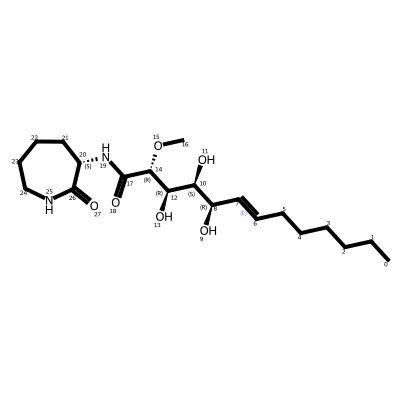 CCCCCC/C=C/[C@@H](O)[C@H](O)[C@@H](O)[C@@H](OC)C(=O)N[C@H]1CCCCNC1=O